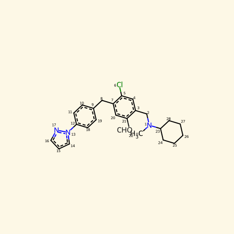 CN(Cc1cc(Cl)c(Cc2ccc(-n3cccn3)cc2)cc1C=O)C1CCCCC1